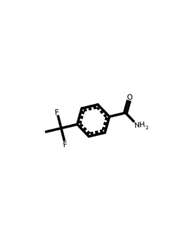 CC(F)(F)c1ccc(C(N)=O)cc1